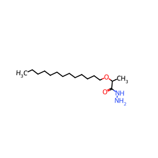 CCCCCCCCCCCCCOC(C)C(=O)NN